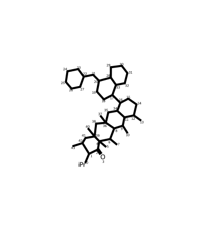 CC(C)C1C(=O)C2(C)C(C)C3C(C)C4C(C)CCC(C5CCC(CC6CCCCC6)C6CCCCC65)C4CC3(C)CC2(C)CC1C